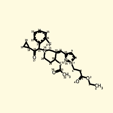 CCOC(=O)CCn1ccc(/C=C2/CN(C(C(=O)C3CC3)c3ccccc3F)CCC2SC(C)=O)n1